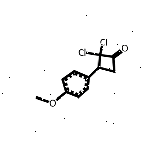 COc1ccc(C2CC(=O)C2(Cl)Cl)cc1